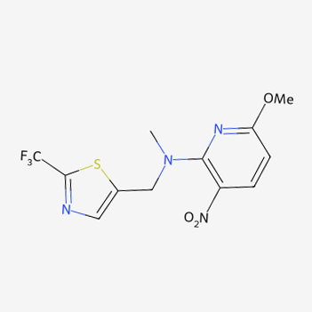 COc1ccc([N+](=O)[O-])c(N(C)Cc2cnc(C(F)(F)F)s2)n1